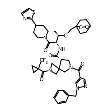 C[C@@H](OCC12CCC(CC1)OC2)[C@H](NC(=O)[C@@H]1CN(C(=O)c2cnn(Cc3ccccc3)c2)CC12CN(C(=O)C1(C(F)(F)F)CC1)C2)C(=O)N1CCC(c2nccs2)CC1